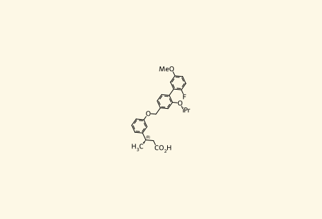 COc1ccc(F)c(-c2ccc(COc3cccc([C@H](C)CC(=O)O)c3)cc2OC(C)C)c1